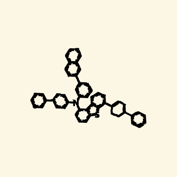 C1=C(c2ccccc2)CCC(c2cccc3c2sc2cccc(N(c4ccc(-c5ccccc5)cc4)c4cccc(-c5ccc6ccccc6c5)c4)c23)=C1